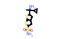 CC(N)(c1cc2cc(S(N)(=O)=O)sc2s1)C1CC1